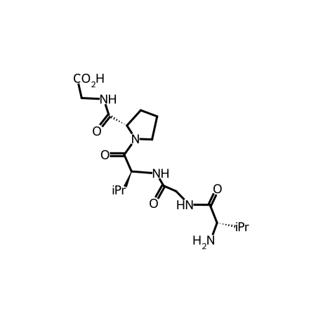 CC(C)[C@H](N)C(=O)NCC(=O)N[C@H](C(=O)N1CCC[C@H]1C(=O)NCC(=O)O)C(C)C